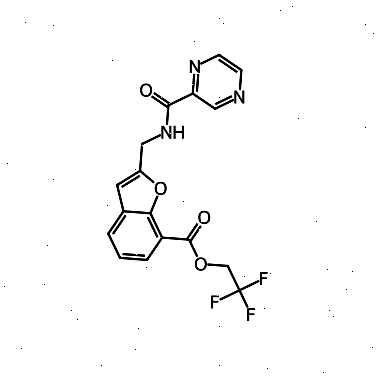 O=C(NCc1cc2cccc(C(=O)OCC(F)(F)F)c2o1)c1cnccn1